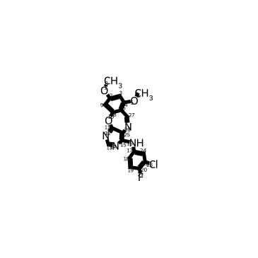 COc1cc(OC)c2c(c1)Oc1ncnc(Nc3ccc(F)c(Cl)c3)c1N=C2